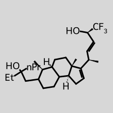 CCCC(O)(CC)CC1CCC2[C@H](CC[C@]3(C)C([C@H](C)/C=C/[C@@H](O)C(F)(F)F)=CC[C@@H]23)[C@@H]1C